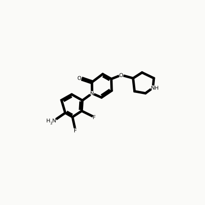 Nc1ccc(-n2ccc(OC3CCNCC3)cc2=O)c(F)c1F